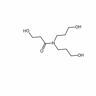 O=C(CCO)N(CCCO)CCCO